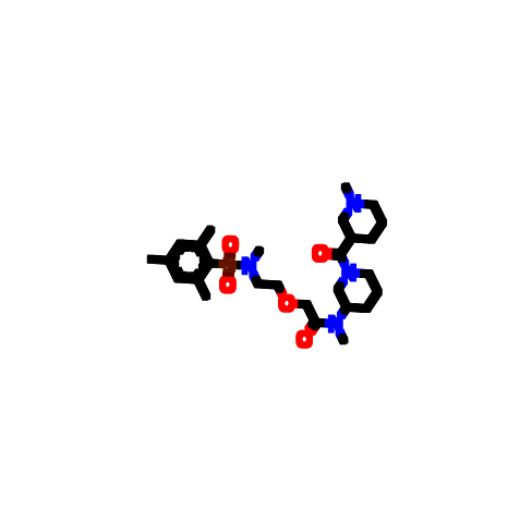 Cc1cc(C)c(S(=O)(=O)N(C)CCOCC(=O)N(C)C2CCCN(C(=O)C3CCCN(C)C3)C2)c(C)c1